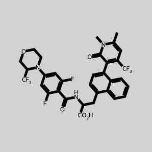 Cc1cc(C(F)(F)F)c(-c2ccc(CC(NC(=O)c3c(F)cc(N4CCOCC4C(F)(F)F)cc3F)C(=O)O)c3ccccc23)c(=O)n1C